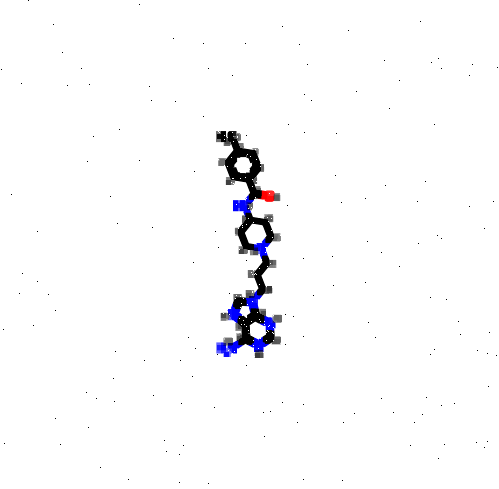 Cc1ccc(C(=O)NC2CCN(CCCn3cnc4c(N)ncnc43)CC2)cc1